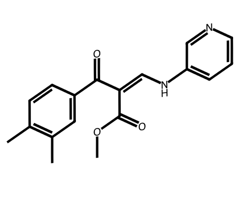 COC(=O)/C(=C\Nc1cccnc1)C(=O)c1ccc(C)c(C)c1